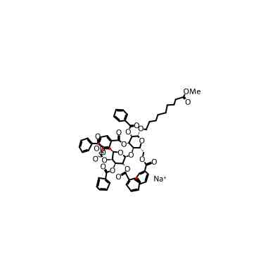 COC(=O)CCCCCCCCO[C@@H]1O[C@H](COC(=O)c2ccccc2)[C@@H](O[C@@H]2O[C@H](COC(=O)c3ccccc3)[C@H](OS(=O)(=O)[O-])[C@H](OC(=O)c3ccccc3)[C@H]2OC(=O)c2ccccc2)[C@H](OC(=O)c2ccccc2)[C@H]1OC(=O)c1ccccc1.[Na+]